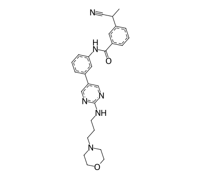 CC(C#N)c1cccc(C(=O)Nc2cccc(-c3cnc(NCCCN4CCOCC4)nc3)c2)c1